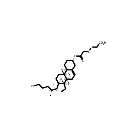 CC(C)CCC[C@@H](C)[C@H]1CC[C@H]2[C@@H]3CC=C4C[C@@H](OC(=O)CSSCC(=O)O)CC[C@]4(C)[C@H]3CC[C@]12C